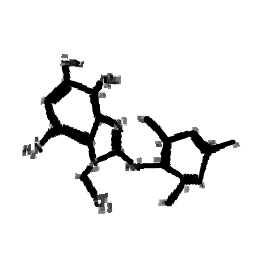 CCCCc1cc(N)c2c(nc(Nc3c(C)cc(C)cc3C)n2CC(F)(F)F)c1CCCC